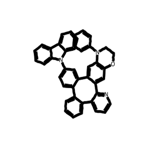 c1ccc(N2CCOc3cc4c(cc32)-c2cc(-n3c5ccccc5c5ccccc53)ccc2-c2ccccc2-c2cccnc2-4)cc1